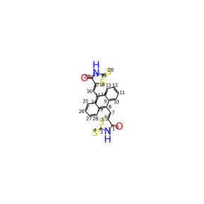 O=C1NC(=S)SC1=Cc1c2ccccc2c(C=C2SC(=S)NC2=O)c2ccccc12